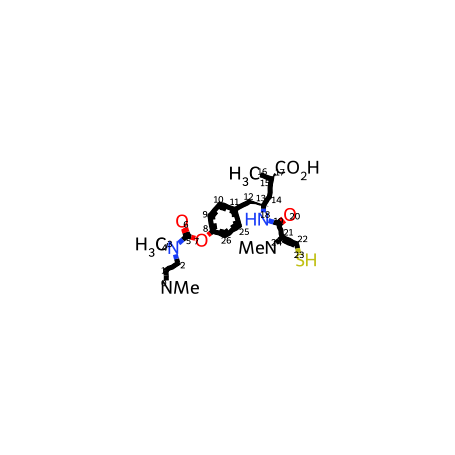 CNCCN(C)C(=O)Oc1ccc(C[C@@H](C[C@H](C)C(=O)O)NC(=O)/C(=C/S)NC)cc1